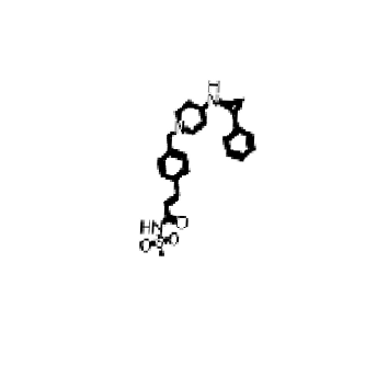 CS(=O)(=O)NC(=O)C=Cc1ccc(CN2CCC(NC3CC3c3ccccc3)CC2)cc1